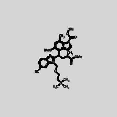 COC(=O)C(C)CC(c1c(OC)cc(C)c2c1ccn2C(=O)OC(C)(C)C)c1nc2ccc(C#N)cc2n1COCC[Si](C)(C)C